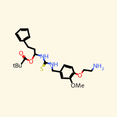 COc1cc(CNC(=S)NC(CCc2ccccc2)OC(=O)C(C)(C)C)ccc1OCCN